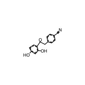 N#Cc1ccc(CC(=O)c2ccc(O)cc2O)cc1